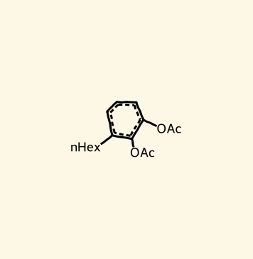 CCCCCCc1cccc(OC(C)=O)c1OC(C)=O